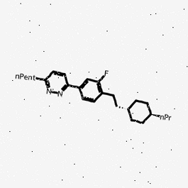 CCCCCc1ccc(-c2ccc(CC[C@H]3CC[C@H](CCC)CC3)c(F)c2)nn1